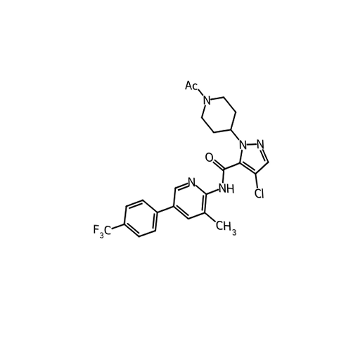 CC(=O)N1CCC(n2ncc(Cl)c2C(=O)Nc2ncc(-c3ccc(C(F)(F)F)cc3)cc2C)CC1